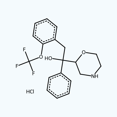 Cl.OC(Cc1ccccc1OC(F)(F)F)(c1ccccc1)C1CNCCO1